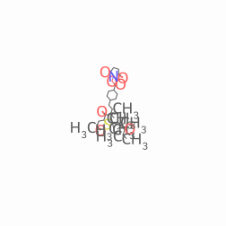 CC(=O)CC(SC(C)(C)CC(C)(C)C(=O)C(C)C)C(=O)C(C)C(C)CC1CCC(C(=O)ON2C(=O)CCC2=O)CC1